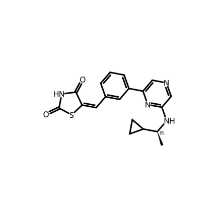 C[C@H](Nc1cncc(-c2cccc(C=C3SC(=O)NC3=O)c2)n1)C1CC1